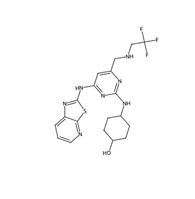 OC1CCC(Nc2nc(CNCC(F)(F)F)cc(Nc3nc4cccnc4s3)n2)CC1